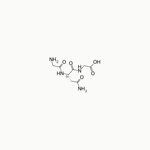 NCC(=O)N[C@@H](CC(N)=O)C(=O)NCC(=O)O